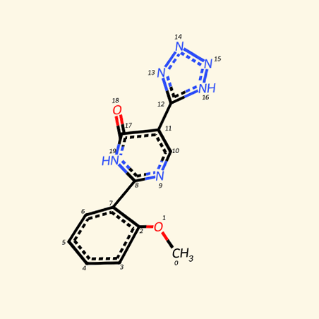 COc1ccccc1-c1ncc(-c2nnn[nH]2)c(=O)[nH]1